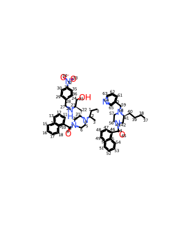 CCC(C)N1CCN(C(=O)c2cccc3ccccc23)C[C@@H]1C[C@H](CO)NCc1ccc([N+](=O)[O-])cc1.CCCC[C@H]1CN(C(=O)c2cccc3ccccc23)CCN1Cc1cccnc1